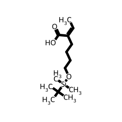 CC=C(CCCCO[Si](C)(C)C(C)(C)C)C(=O)O